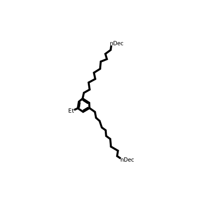 [CH2]Cc1cc(CCCCCCCCCCCCCCCCCCCC)cc(CCCCCCCCCCCCCCCCCCCC)c1